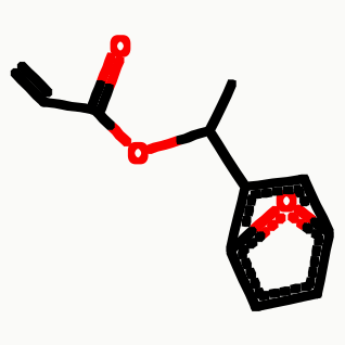 C=CC(=O)OC(C)c1cc2ccc1o2